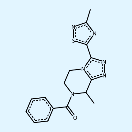 Cc1nsc(-c2nnc3n2CCN(C(=O)c2ccccc2)C3C)n1